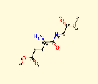 COC(=O)CC[C@@H](N)C(=O)NCC(=O)OC